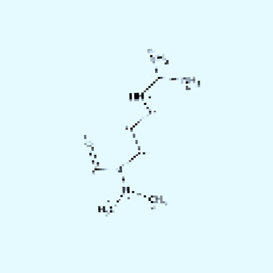 CN(C)C(C=O)CCCNC(N)N